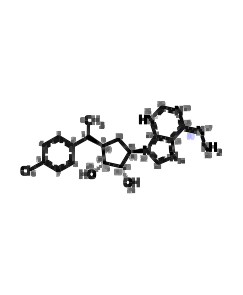 CC(c1ccc(Cl)cc1)[C@H]1C[C@@H](n2cnc3/c(=N\N)nc[nH]c32)[C@H](O)[C@@H]1O